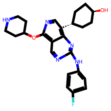 O[C@H]1CC[C@H](c2cnc(OC3CCNCC3)c3cnc(Nc4ccc(F)cc4)nc32)CC1